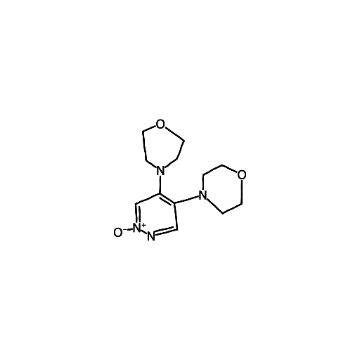 [O-][n+]1cc(N2CCOCC2)c(N2CCOCC2)cn1